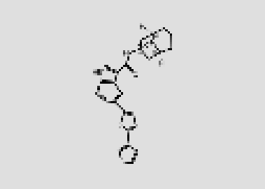 CN1[C@@H]2CCC[C@H]1C[C@@H](NC(=O)c1n[nH]c3ccc(-c4ccc(-c5ccsc5)s4)cc13)C2